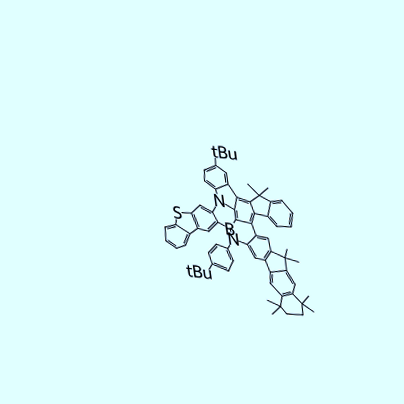 CC(C)(C)c1ccc(N2B3c4cc5c(cc4-n4c6ccc(C(C)(C)C)cc6c6c7c(c(c3c64)-c3cc4c(cc32)-c2cc3c(cc2C4(C)C)C(C)(C)CCC3(C)C)-c2ccccc2C7(C)C)sc2ccccc25)cc1